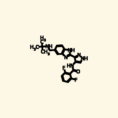 CC(C)(C)NCc1ccc2[nH]c(-c3n[nH]cc3NC(=O)c3c(F)cccc3F)nc2c1